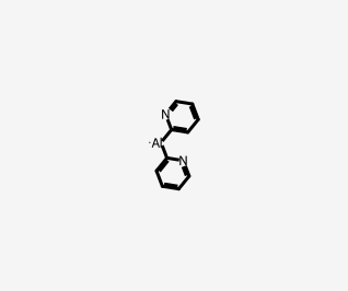 c1cc[c]([Al][c]2ccccn2)nc1